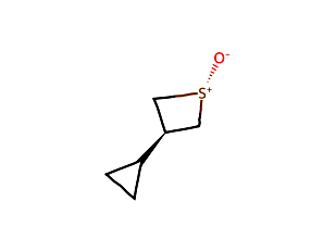 [O-][S@+]1C[C@@H]([C]2CC2)C1